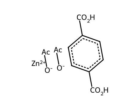 CC(=O)[O-].CC(=O)[O-].O=C(O)c1ccc(C(=O)O)cc1.[Zn+2]